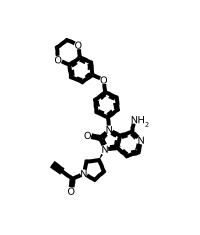 C#CC(=O)N1CC[C@@H](n2c(=O)n(-c3ccc(Oc4ccc5c(c4)OCCO5)cc3)c3c(N)nccc32)C1